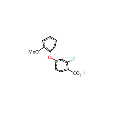 COc1ccccc1Oc1ccc(C(=O)O)c(F)c1